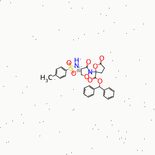 Cc1ccc(S(=O)(=O)N[C@H]2CON(C3(C(=O)OC(c4ccccc4)c4ccccc4)CCC(=O)O3)C2=O)cc1